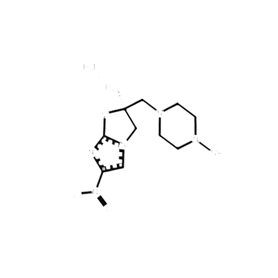 C[C@]1(CN2CCN(N)CC2)Cn2cc([N+](=O)[O-])nc2O1.Cl.Cl